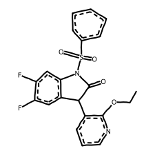 CCOc1ncccc1C1C(=O)N(S(=O)(=O)c2ccccc2)c2cc(F)c(F)cc21